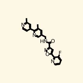 Cc1cc(-c2ncc(CNC(=O)c3cc(-c4ncccc4F)on3)cc2C)ccn1